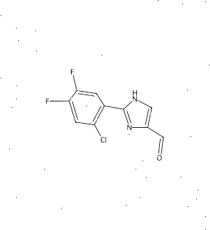 O=Cc1c[nH]c(-c2cc(F)c(F)cc2Cl)n1